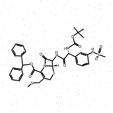 CSCC1=C(C(=O)OC(c2ccccc2)c2ccccc2)N2C(=O)C(NC(=O)[C@H](NC(=O)OC(C)(C)C)c3cccc(NS(C)(=O)=O)c3)[C@@H]2SC1